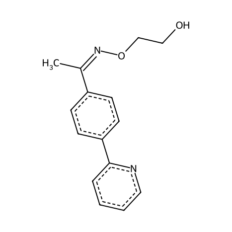 C/C(=N/OCCO)c1ccc(-c2ccccn2)cc1